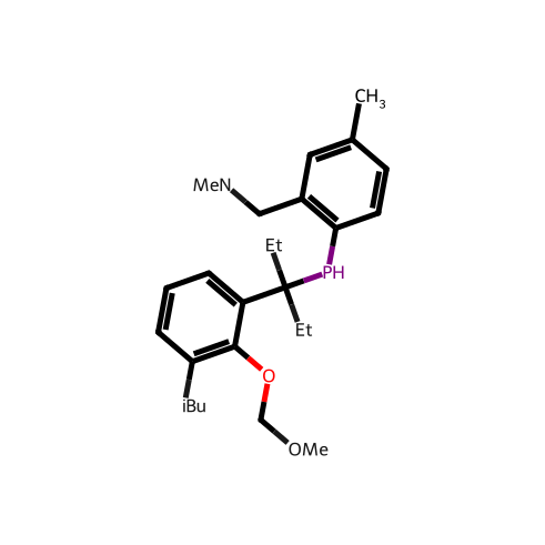 CCC(C)c1cccc(C(CC)(CC)Pc2ccc(C)cc2CNC)c1OCOC